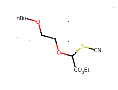 CCCCOCCOC(SC#N)C(=O)OCC